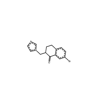 O=C1c2cc(Br)ccc2CCC1Cn1ccnc1